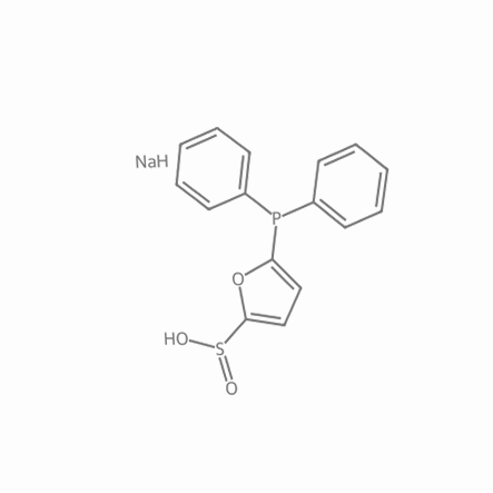 O=S(O)c1ccc(P(c2ccccc2)c2ccccc2)o1.[NaH]